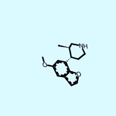 COc1cc([C@H]2CCNC[C@@H]2C)c2occc2c1